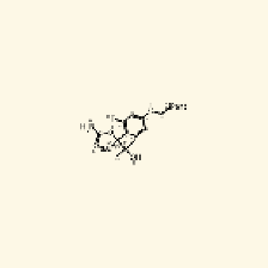 CCCC(C)COc1ccc([C@](OC(N)=O)(C(C)(C)C)C(C)(C)O)c(F)c1